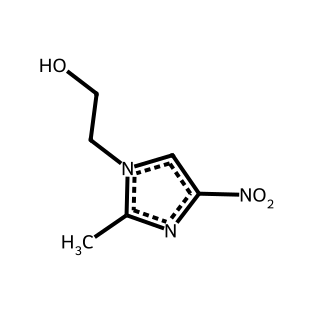 Cc1nc([N+](=O)[O-])cn1CCO